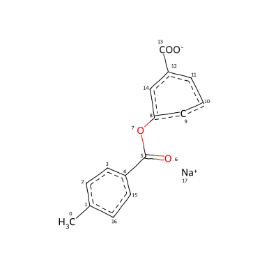 Cc1ccc(C(=O)Oc2cccc(C(=O)[O-])c2)cc1.[Na+]